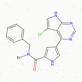 CCN(Cc1ccccc1)C(=O)c1cc(-c2ncnc3[nH]cc(Cl)c23)c[nH]1